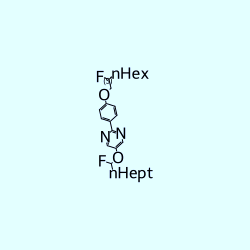 CCCCCCCC(F)Oc1cnc(-c2ccc(OC[C@@H](F)CCCCCC)cc2)nc1